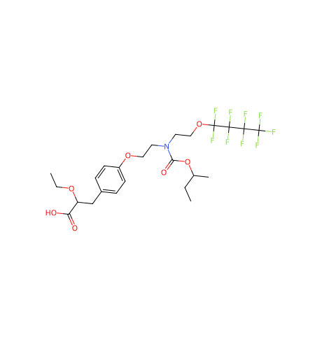 CCOC(Cc1ccc(OCCN(CCOC(F)(F)C(F)(F)C(F)(F)C(F)(F)F)C(=O)OC(C)CC)cc1)C(=O)O